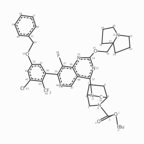 CC(C)(C)OC(=O)N1CC2CCC1CN2c1nc(OCC23CCCN2CCC3)nc2c(F)c(-c3cc(OCc4ccccc4)cc(Cl)c3C(F)(F)F)ncc12